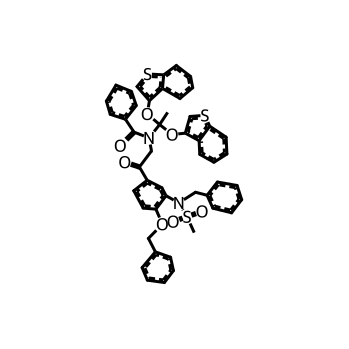 CC(Oc1csc2ccccc12)(Oc1csc2ccccc12)N(CC(=O)c1ccc(OCc2ccccc2)c(N(Cc2ccccc2)S(C)(=O)=O)c1)C(=O)c1ccccc1